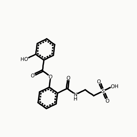 O=C(Oc1ccccc1C(=O)NCCS(=O)(=O)O)c1ccccc1O